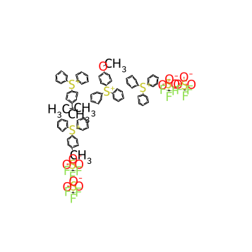 CC(C)(C)c1ccc([S+](c2ccccc2)c2ccccc2)cc1.COc1ccc([S+](c2ccccc2)c2ccccc2)cc1.Cc1ccc([S+](c2ccccc2)c2ccccc2)cc1.O=S(=O)([O-])C(F)(F)F.O=S(=O)([O-])C(F)(F)F.O=S(=O)([O-])C(F)(F)F.O=S(=O)([O-])C(F)(F)F.c1ccc([S+](c2ccccc2)c2ccccc2)cc1